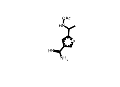 CC(=O)ONC(C)c1cc(C(=N)N)cs1